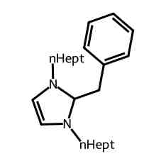 CCCCCCCN1C=CN(CCCCCCC)C1Cc1ccccc1